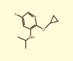 CC(C)Nc1cc(F)cnc1OC1CC1